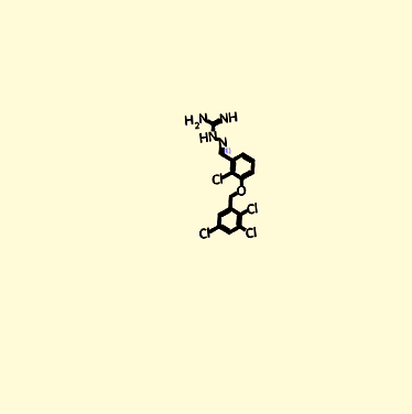 N=C(N)N/N=C/c1cccc(OCc2cc(Cl)cc(Cl)c2Cl)c1Cl